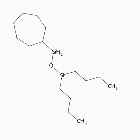 CCCC[Si](CCCC)O[SiH2]C1CCCCCC1